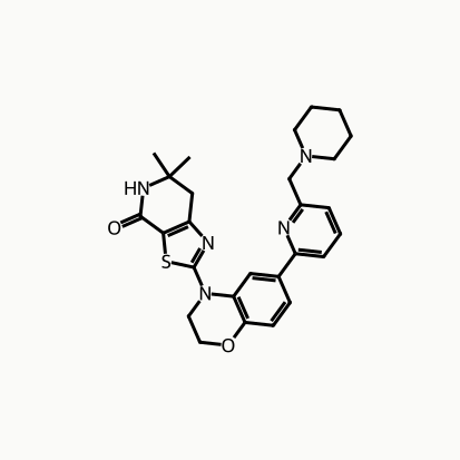 CC1(C)Cc2nc(N3CCOc4ccc(-c5cccc(CN6CCCCC6)n5)cc43)sc2C(=O)N1